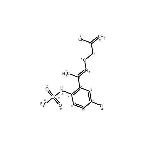 C=C(Cl)CO/N=C(\C)c1cc(Cl)ccc1NS(=O)(=O)C(F)(F)F